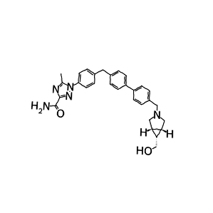 Cc1nc(C(N)=O)nn1-c1ccc(Cc2ccc(-c3ccc(CN4C[C@@H]5[C@H](CO)[C@@H]5C4)cc3)cc2)cc1